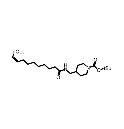 CCCCCCCC/C=C\CCCCCCCC(=O)NCC1CCN(C(=O)OC(C)(C)C)CC1